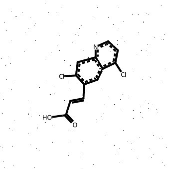 O=C(O)/C=C/c1cc2c(Cl)ccnc2cc1Cl